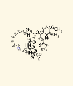 COc1ccc2c(OC3CC4C(=O)NC5(C(=O)NS(=O)(=O)C6CC6)CC5/C=C/CCCCCCC(=O)N4C3)cc(-c3nccs3)nc2c1C